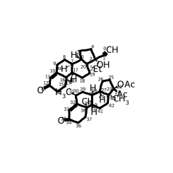 C#C[C@]1(O)CC[C@H]2[C@@H]3CCC4=CC(=O)CC[C@@H]4[C@H]3CC[C@@]21CC.CC(=O)O[C@]1(C(C)=O)CC[C@H]2[C@@H]3C[C@H](C)C4=CC(=O)CC[C@]4(C)[C@H]3CC[C@@]21C